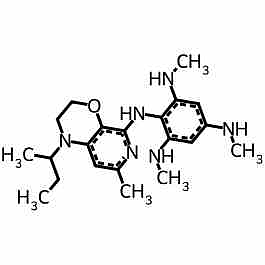 CCC(C)N1CCOc2c1cc(C)nc2Nc1c(NC)cc(NC)cc1NC